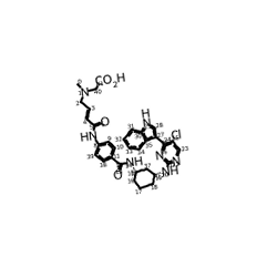 CN(CC=CC(=O)Nc1ccc(C(=O)N[C@H]2CCC[C@@H](Nc3ncc(Cl)c(-c4c[nH]c5ccccc45)n3)C2)cc1)CC(=O)O